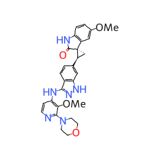 COc1ccc2c(c1)[C@]1(C[C@H]1c1ccc3c(Nc4ccnc(N5CCOCC5)c4OC)n[nH]c3c1)C(=O)N2